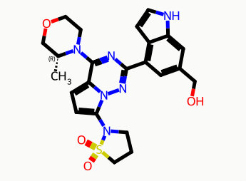 C[C@@H]1COCCN1c1nc(-c2cc(CO)cc3[nH]ccc23)nn2c(N3CCCS3(=O)=O)ccc12